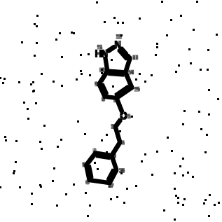 c1ccc(CCOc2ccc3[nH]ncc3c2)cc1